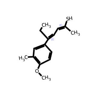 CC/C(=C\C=C(/C)S)c1ccc(OC)c(C)c1